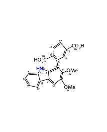 COc1cc2c([nH]c3ccccc32)c(-c2cc(C(=O)O)ccc2C(=O)O)c1OC